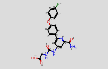 NC(=O)c1cc(NC(=O)NCC(=O)O)cc(-c2ccc(Oc3ccc(F)cc3)cc2)n1